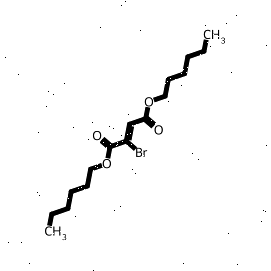 CCCCCCOC(=O)C=C(Br)C(=O)OCCCCCC